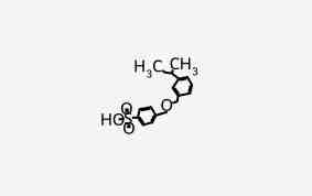 CCC(C)c1cccc(COCc2ccc(S(=O)(=O)O)cc2)c1